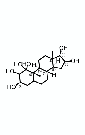 C[C@]12CC[C@H]3[C@@H](CCC4C[C@@H](O)C(O)C(O)(O)[C@@]43C)[C@@H]1C[C@H](O)[C@@H]2O